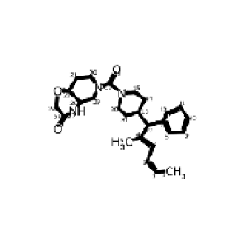 C/C=C\C=C(/C)C(c1ccccc1)C1CCN(C(=O)N2CCC3OCC(=O)NC3C2)CC1